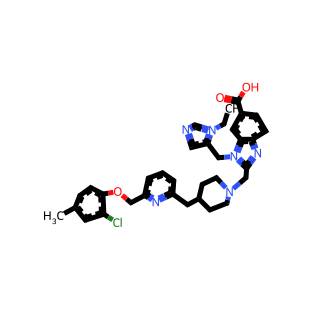 CCn1cncc1Cn1c(CN2CCC(Cc3cccc(COc4ccc(C)cc4Cl)n3)CC2)nc2ccc(C(=O)O)cc21